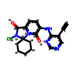 C#Cc1cncnc1Nc1ccc2n(c1=O)C1(CCCCC1)N(Cl)C2=O